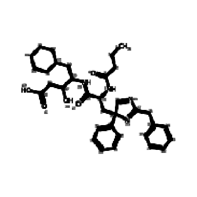 CCCC(=O)N[C@@H](CC1(c2ccccc2)C=NC(Cc2ccccc2)=N1)C(=O)NC(CC1CCCCC1)C(O)CC(=O)O